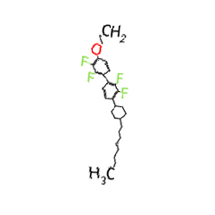 C=CCOc1ccc(-c2ccc(C3CCC(CCCCCCCC)CC3)c(F)c2F)c(F)c1F